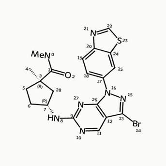 CNC(=O)[C@]1(C)CC[C@@H](Nc2ncc3c(Br)nn(-c4ccc5ncsc5c4)c3n2)C1